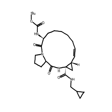 CC(C)(C)OC(=O)N[C@H]1CCCCC/C=C\[C@@H]2C[C@@]2(C(=O)NCC2CC2)NC(=O)C2CCCN2C1=O